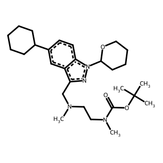 CN(CCN(C)C(=O)OC(C)(C)C)Cc1nn(C2CCCCO2)c2ccc(C3CCCCC3)cc12